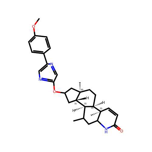 COc1ccc(-c2cnc(OC3C[C@H]4[C@@H]5C(C)CC6NC(=O)C=C[C@]6(C)[C@@H]5CC[C@]4(C)C3)cn2)cc1